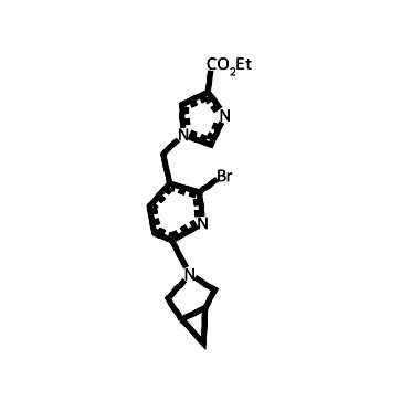 CCOC(=O)c1cn(Cc2ccc(N3CC4CC4C3)nc2Br)cn1